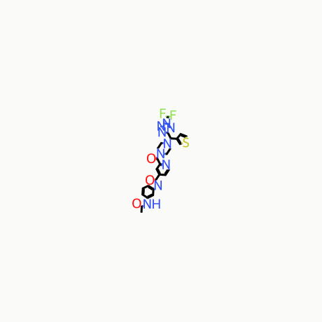 CC(=O)Nc1ccc2oc(-c3ccnc(C(=O)N4CCN(C(c5ccsc5)c5nnn(C(F)F)n5)CC4)c3)nc2c1